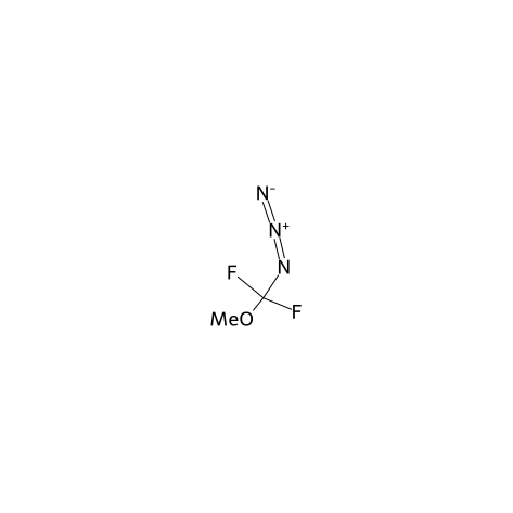 COC(F)(F)N=[N+]=[N-]